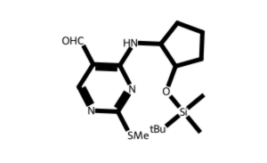 CSc1ncc(C=O)c(NC2CCCC2O[Si](C)(C)C(C)(C)C)n1